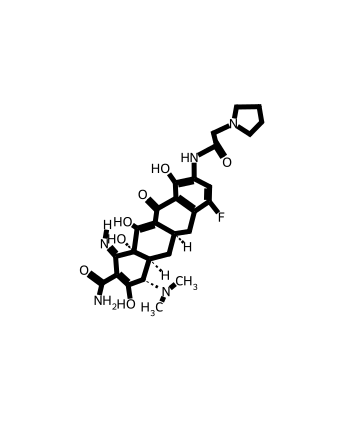 [H]/N=C1/C(C(N)=O)=C(O)[C@@H](N(C)C)[C@@H]2C[C@@H]3Cc4c(F)cc(NC(=O)CN5CCCC5)c(O)c4C(=O)C3=C(O)[C@]12O